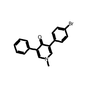 Cn1cc(-c2ccccc2)c(=O)c(-c2ccc(Br)cc2)c1